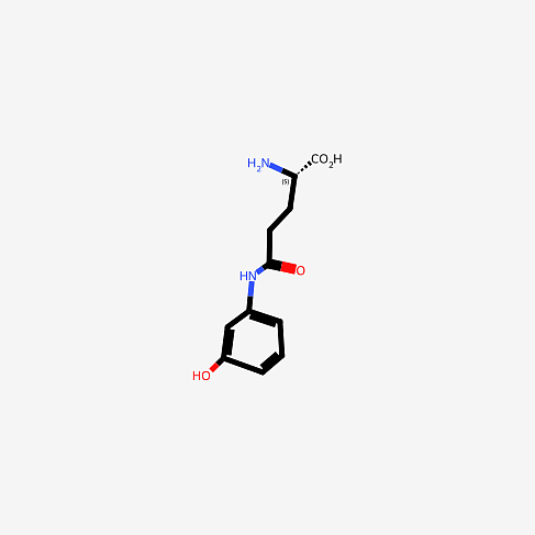 N[C@@H](CCC(=O)Nc1cccc(O)c1)C(=O)O